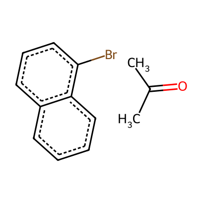 Brc1cccc2ccccc12.CC(C)=O